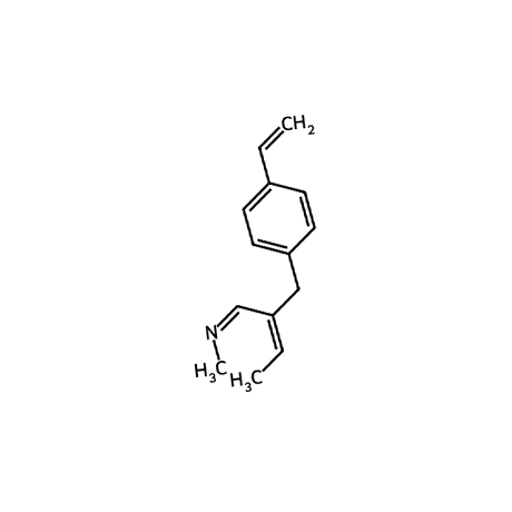 C=Cc1ccc(CC(/C=N\C)=C/C)cc1